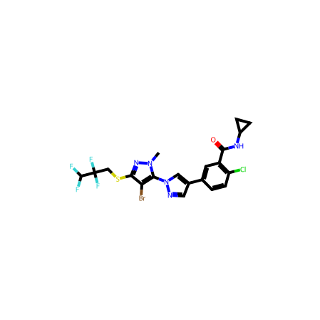 Cn1nc(SCC(F)(F)C(F)F)c(Br)c1-n1cc(-c2ccc(Cl)c(C(=O)NC3CC3)c2)cn1